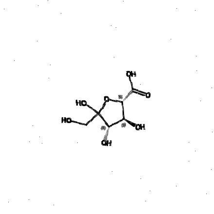 O=C(O)[C@H]1OC(O)(CO)[C@@H](O)[C@@H]1O